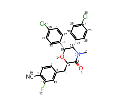 CN1C(=O)[C@@H](Cc2ccc(C#N)c(F)c2)O[C@H](c2ccc(Cl)cc2)[C@@H]1c1ccc(Cl)cc1